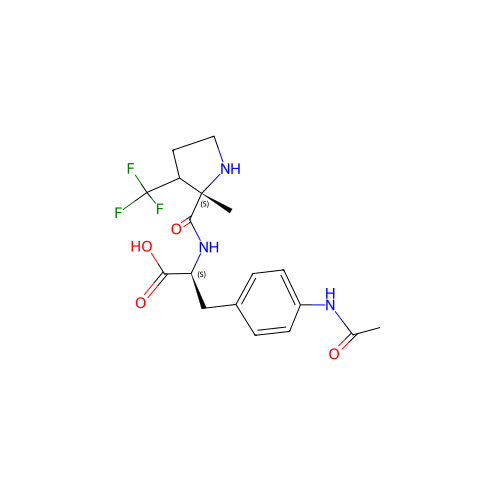 CC(=O)Nc1ccc(C[C@H](NC(=O)[C@@]2(C)NCCC2C(F)(F)F)C(=O)O)cc1